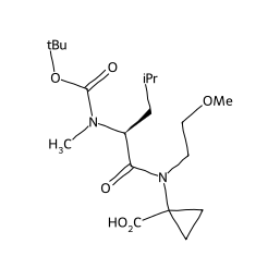 COCCN(C(=O)[C@H](CC(C)C)N(C)C(=O)OC(C)(C)C)C1(C(=O)O)CC1